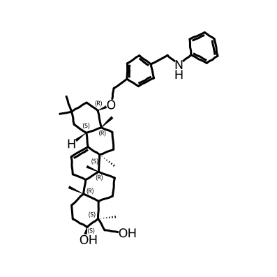 CC1(C)C[C@@H](OCc2ccc(CNc3ccccc3)cc2)[C@]2(C)CC[C@]3(C)C(=CCC4[C@@]5(C)CC[C@H](O)[C@](C)(CO)C5CC[C@]43C)[C@@H]2C1